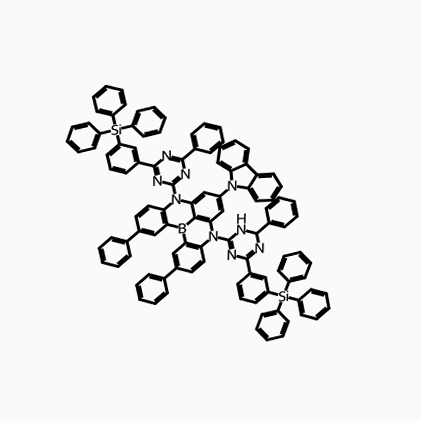 c1ccc(-c2ccc3c(c2)B2c4cc(-c5ccccc5)ccc4N(c4nc(-c5ccccc5)nc(-c5cccc([Si](c6ccccc6)(c6ccccc6)c6ccccc6)c5)n4)c4cc(-n5c6ccccc6c6ccccc65)cc(c42)N3C2=NC(c3cccc([Si](c4ccccc4)(c4ccccc4)c4ccccc4)c3)=NC(c3ccccc3)N2)cc1